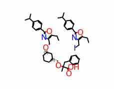 CCc1oc(-c2ccc(C(C)C)cc2)nc1CI.CCc1oc(-c2ccc(C(C)C)cc2)nc1CO[C@H]1CCC[C@@H](COC(C)(Cc2ccccc2)C(=O)O)C1